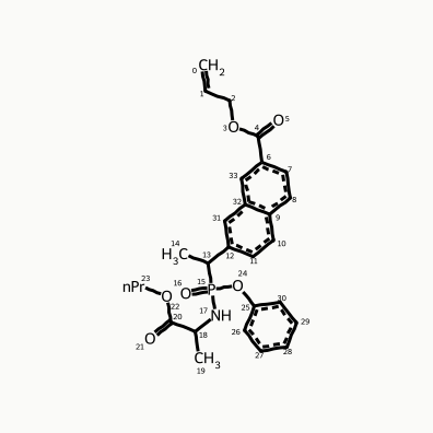 C=CCOC(=O)c1ccc2ccc(C(C)P(=O)(NC(C)C(=O)OCCC)Oc3ccccc3)cc2c1